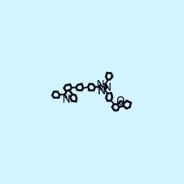 c1ccc(-c2nc(-c3ccc(-c4ccc(-c5cccc6c(-c7ccccc7)nc7ccccc7c56)cc4)cc3)nc(-c3ccc(-c4cccc5c4oc4ccccc45)cc3)n2)cc1